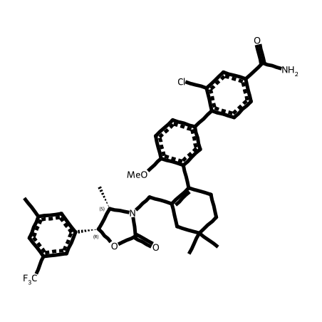 COc1ccc(-c2ccc(C(N)=O)cc2Cl)cc1C1=C(CN2C(=O)O[C@H](c3cc(C)cc(C(F)(F)F)c3)[C@@H]2C)CC(C)(C)CC1